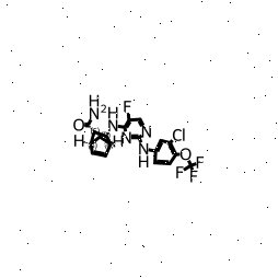 NC(=O)[C@@H]1[C@H](Nc2nc(Nc3ccc(OC(F)(F)F)c(Cl)c3)ncc2F)[C@H]2C=C[C@@H]1C2